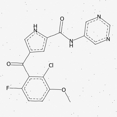 COc1ccc(F)c(C(=O)c2c[nH]c(C(=O)Nc3cncnc3)c2)c1Cl